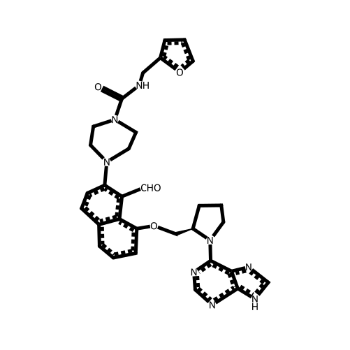 O=Cc1c(N2CCN(C(=O)NCc3ccco3)CC2)ccc2cccc(OC[C@H]3CCCN3c3ncnc4[nH]cnc34)c12